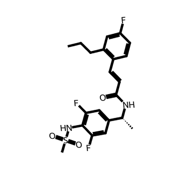 CCCc1cc(F)ccc1/C=C/C(=O)N[C@H](C)c1cc(F)c(NS(C)(=O)=O)c(F)c1